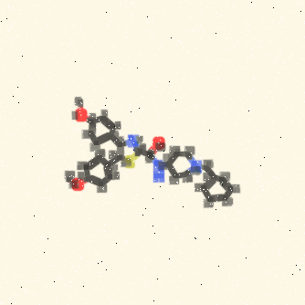 COc1ccc(-c2nc(C(=O)NC3CCN(Cc4ccccc4)CC3)sc2-c2ccc(OC)cc2)cc1